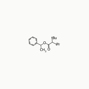 CC(OC(=O)C(C(C)C)C(C)(C)C)c1ccccc1